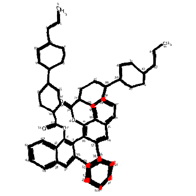 CCCC1CCC(C2CCC(C(=O)Oc3c(-c4c(-c5ccccc5)cc5ccccc5c4OC(=O)C4CCC(C5CCC(CCC)CC5)CC4)c(-c4ccccc4)cc4ccccc34)CC2)CC1